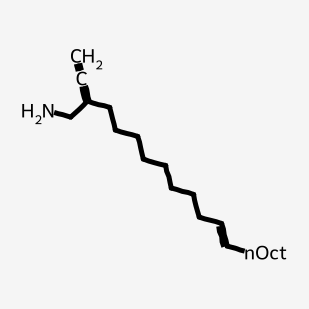 C=C=C(CN)CCCCCCCC/C=C/CCCCCCCC